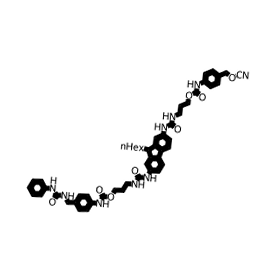 CCCCCCC1c2cc(NC(=O)NCCCOC(=O)Nc3ccc(CNC(=O)Nc4ccccc4)cc3)ccc2-c2ccc(NC(=O)NCCCOC(=O)Nc3ccc(COC#N)cc3)cc21